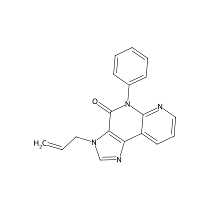 C=CCn1cnc2c3cccnc3n(-c3ccccc3)c(=O)c21